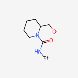 CCNC(=O)N1CCCCC1C[O]